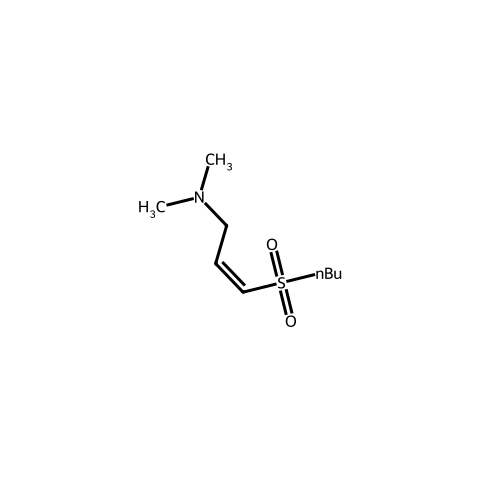 CCCCS(=O)(=O)/C=C\CN(C)C